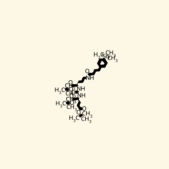 CC(C)(C)OC(=O)CC[C@H](NC(=O)N[C@@H](CCCNC(=O)CCCc1cc[c]([Sn]([CH3])([CH3])[CH3])cc1)C(=O)OC(C)(C)C)C(=O)OC(C)(C)C